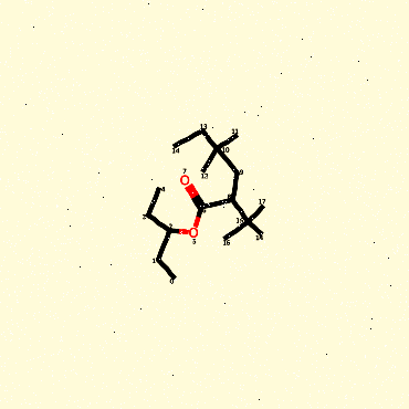 CCC(CC)OC(=O)C(CC(C)(C)CC)C(C)(C)C